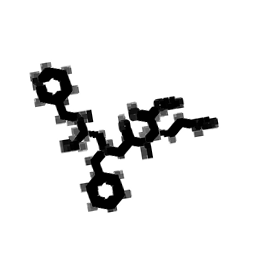 CC[C@H](C)[C@@H](CN(CC(=O)N[C@@H](CCSC)C(=O)OC)Cc1ccccc1)NCc1cccnc1